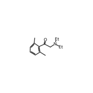 CCN(CC)CC(=O)c1c(C)cccc1C